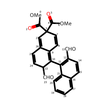 COC(=O)C1(C(=O)OC)C=CC2=C(c3c(C=O)ccc4ccccc34)C(C=O)C=CC2=C1